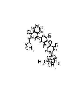 CCCCn1cc(-c2cc(F)c(O[C@@H]3CCN(C(=O)OC(C)(C)C)C[C@H]3F)c(F)c2)c2ccncc2c1=O